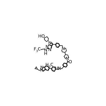 Cc1cc(CNCc2ccc(C(=O)N3CCC(C4CCN(Cc5ccc(-c6cn([C@H]7CC[C@H](O)CC7)c7nc(NCCC(F)(F)F)ncc67)cc5)CC4)CC3)cc2)ccc1-c1ccc2nn(CC3CC3)cc2c1